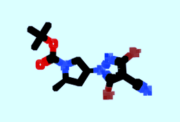 C[C@@H]1C[C@H](n2nc(Br)c(C#N)c2Br)CN1C(=O)OC(C)(C)C